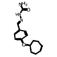 NC(=O)NN=Cc1ccc(OC2CCCCCC2)cc1